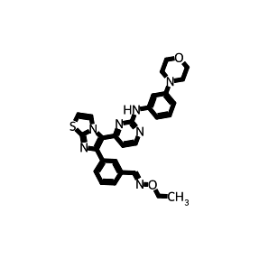 CCON=Cc1cccc(-c2nc3sccn3c2-c2ccnc(Nc3cccc(N4CCOCC4)c3)n2)c1